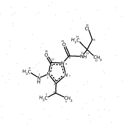 CNn1c(C(C)C)nn(C(=O)NC(C)(C)CCl)c1=O